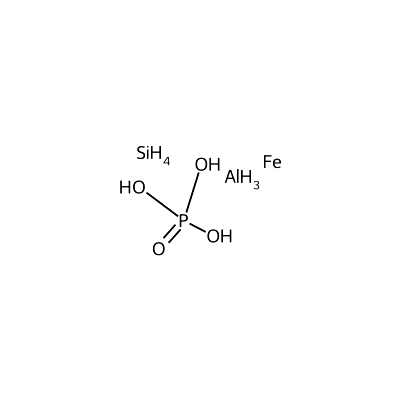 O=P(O)(O)O.[AlH3].[Fe].[SiH4]